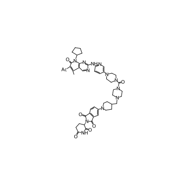 CC(=O)c1c(C)c2cnc(Nc3ccc(N4CCN(C(=O)N5CCN(CC6CCN(c7ccc8c(c7)C(=O)N(C7CCC(=O)NC7=O)C8=O)CC6)CC5)CC4)cn3)nc2n(C2CCCC2)c1=O